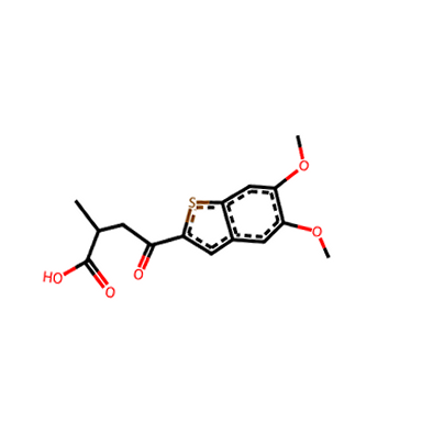 COc1cc2cc(C(=O)CC(C)C(=O)O)sc2cc1OC